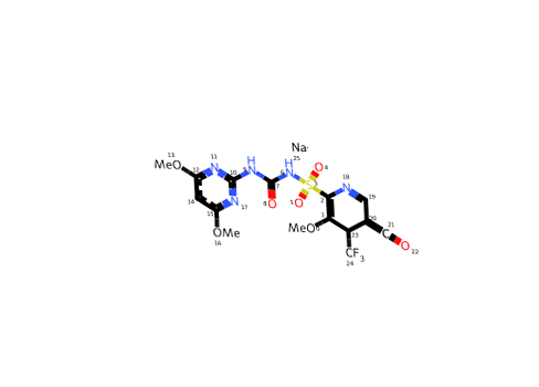 COC1=C(S(=O)(=O)NC(=O)Nc2nc(OC)cc(OC)n2)N=CC(=C=O)C1C(F)(F)F.[Na]